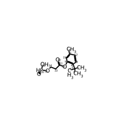 Cc1ccc(C(C)(C)C)c(OC(=O)CCO[PH](=O)O)c1